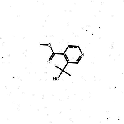 COC(=O)c1ccncc1C(C)(C)O